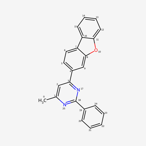 Cc1cc(-c2ccc3c(c2)oc2ccccc23)nc(-c2ccccc2)n1